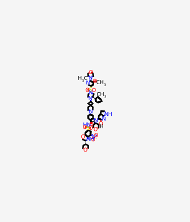 COc1cc(S(=O)(=O)N2CCN(C3CC4(CCN(c5ccc(C(=O)NS(=O)(=O)c6cc7c(c([N+](=O)[O-])c6)N[C@H](C6CCOCC6)CO7)c(N6c7cc8cc[nH]c8nc7O[C@H]7COCC[C@@H]76)c5)CC4)C3)[C@H](c3ccccc3C)C2)cnc1N1CCOC[C@@H]1C